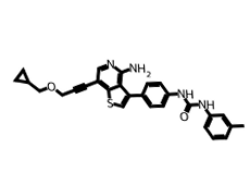 Cc1cccc(NC(=O)Nc2ccc(-c3csc4c(C#CCOCC5CC5)cnc(N)c34)cc2)c1